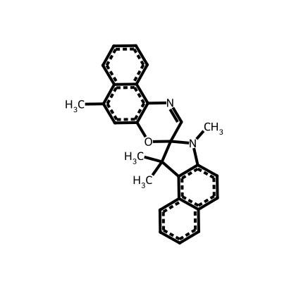 Cc1cc2c(c3ccccc13)N=CC1(O2)N(C)c2ccc3ccccc3c2C1(C)C